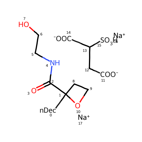 CCCCCCCCCCC1(C(=O)NCCO)CCO1.O=C([O-])CC(C(=O)[O-])S(=O)(=O)O.[Na+].[Na+]